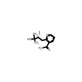 CC(C)(O)[C@H](F)Cc1ncccc1C(N)=O